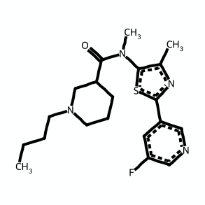 CCCCN1CCCC(C(=O)N(C)c2sc(-c3cncc(F)c3)nc2C)C1